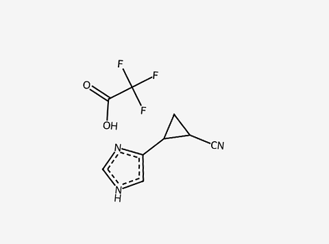 N#CC1CC1c1c[nH]cn1.O=C(O)C(F)(F)F